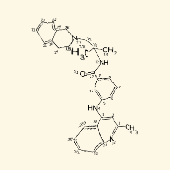 Cc1cc(Nc2cccc(C(=O)NC(C)(C)CN3CCc4ccccc4C3)c2)c2ccccc2n1